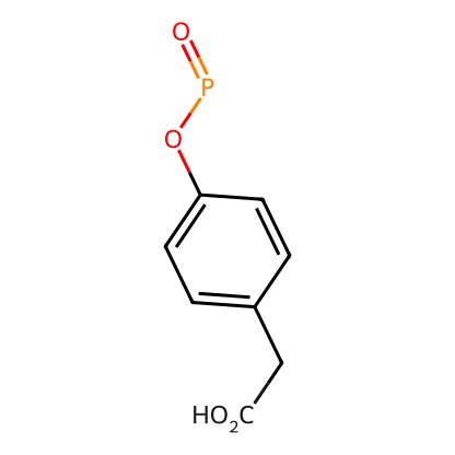 O=POc1ccc(CC(=O)O)cc1